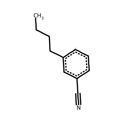 CCCCc1[c]ccc(C#N)c1